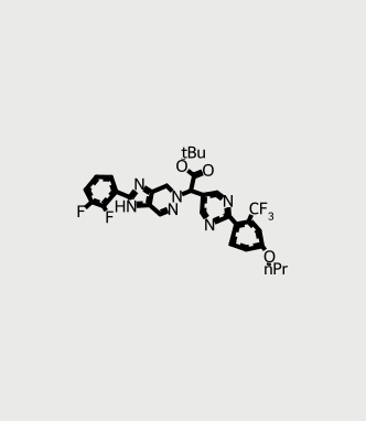 CCCOc1ccc(-c2ncc(C(C(=O)OC(C)(C)C)N3Cc4nc(-c5cccc(F)c5F)[nH]c4C=N3)cn2)c(C(F)(F)F)c1